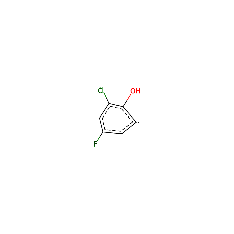 Oc1[c]cc(F)cc1Cl